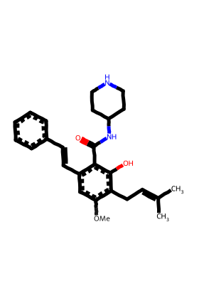 COc1cc(/C=C/c2ccccc2)c(C(=O)NC2CCNCC2)c(O)c1CC=C(C)C